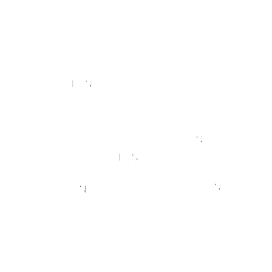 NC1CCCC(N)(c2ccncn2)C1c1cccnc1